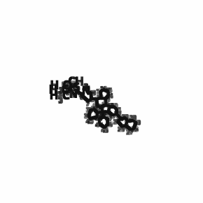 CC1(C)N=C(c2ccc(-c3cc4c(c5ccccc35)-c3ccc(-c5ccc6ccccc6c5)cc3C4(c3ccccc3)c3ccccc3)cn2)SC1(C)C